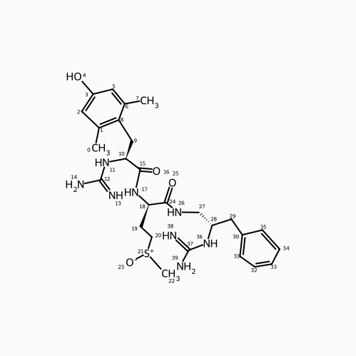 Cc1cc(O)cc(C)c1C[C@H](NC(=N)N)C(=O)N[C@H](CC[S+](C)[O-])C(=O)NC[C@H](Cc1ccccc1)NC(=N)N